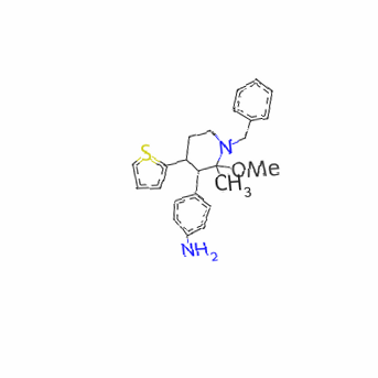 COC1(C)C(c2ccc(N)cc2)C(c2cccs2)CCN1Cc1ccccc1